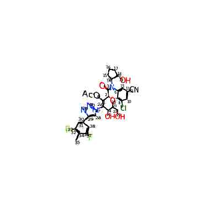 CC(=O)OC1C(C(=O)N(c2cc(Cl)cc(C#N)c2)[C@H]2CCC[C@@H]2O)OC(CO)C(O)C1n1cc(-c2cc(F)c(C)c(F)c2)nn1